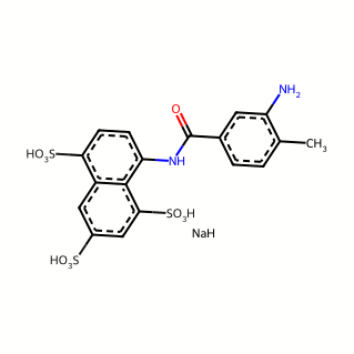 Cc1ccc(C(=O)Nc2ccc(S(=O)(=O)O)c3cc(S(=O)(=O)O)cc(S(=O)(=O)O)c23)cc1N.[NaH]